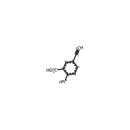 C#Cc1ccc(CCC)c(C(=O)O)c1